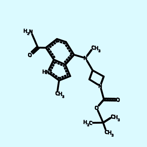 Cc1cc2c(N(C)C3CN(C(=O)OC(C)(C)C)C3)ccc(C(N)=O)c2[nH]1